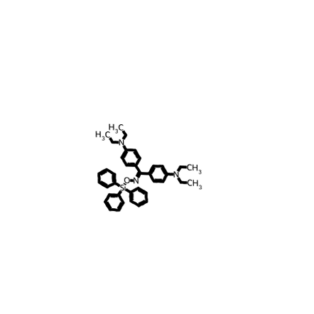 CCN(CC)c1ccc(C(=NO[Si](c2ccccc2)(c2ccccc2)c2ccccc2)c2ccc(N(CC)CC)cc2)cc1